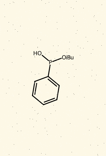 CC(C)COP(O)c1ccccc1